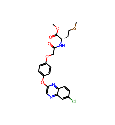 COC(=O)[C@H](CCSC)NC(=O)COc1ccc(Oc2cnc3cc(Cl)ccc3n2)cc1